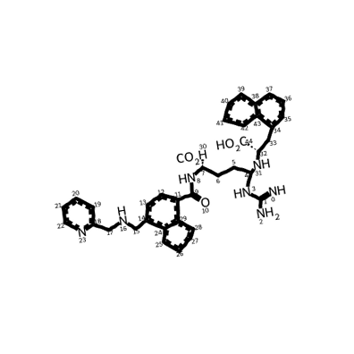 N=C(N)NC(CC[C@H](NC(=O)c1ccc(CNCc2ccccn2)c2ccccc12)C(=O)O)N[C@@H](Cc1cccc2ccccc12)C(=O)O